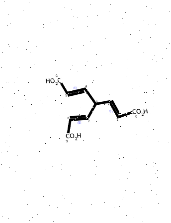 O=C(O)/C=C/C(/C=C/C(=O)O)/C=C/C(=O)O